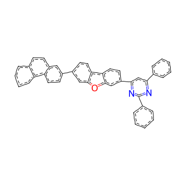 c1ccc(-c2cc(-c3ccc4c(c3)oc3cc(-c5ccc6c(ccc7ccccc76)c5)ccc34)nc(-c3ccccc3)n2)cc1